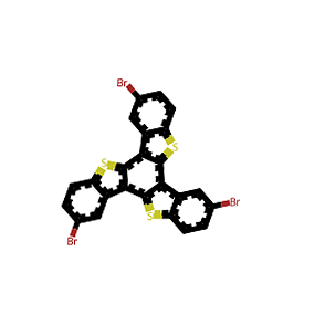 Brc1ccc2sc3c(c2c1)c1sc2ccc(Br)cc2c1c1sc2ccc(Br)cc2c31